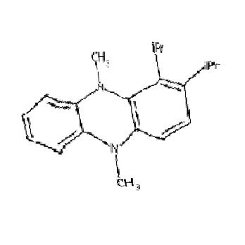 CC(C)c1ccc2c(c1C(C)C)N(C)c1ccccc1N2C